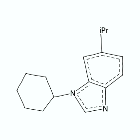 CC(C)c1ccc2ncn(C3CCCCC3)c2c1